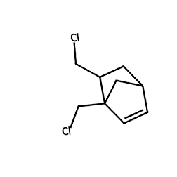 ClCC1CC2C=CC1(CCl)C2